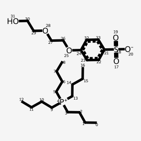 CCCC[P+](CCCC)(CCCC)CCCC.O=S(=O)([O-])c1ccc(OCCOCCO)cc1